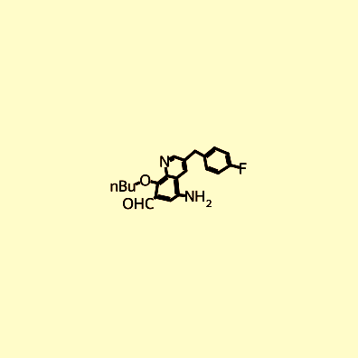 CCCCOc1c(C=O)cc(N)c2cc(Cc3ccc(F)cc3)cnc12